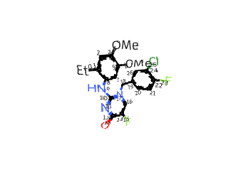 CCc1cc(OC)c(OC)cc1Nc1nc(=O)c(F)cn1Cc1ccc(F)c(Cl)c1